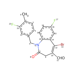 Cc1ccc(CN2C(=O)CC(C=O)=C(Br)c3cc(F)ccc32)cc1F